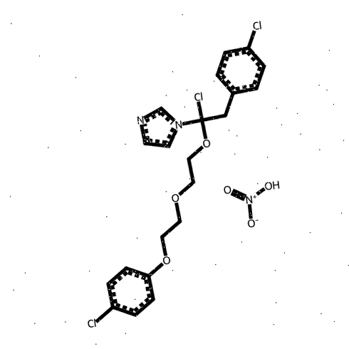 Clc1ccc(CC(Cl)(OCCOCCOc2ccc(Cl)cc2)n2ccnc2)cc1.O=[N+]([O-])O